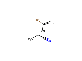 C=C(Br)C#N.CCC#N